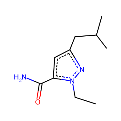 CCn1nc(CC(C)C)cc1C(N)=O